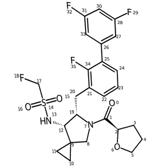 O=C([C@H]1CCCO1)N1CC2(CC2)[C@H](NS(=O)(=O)CF)[C@@H]1Cc1cccc(-c2cc(F)cc(F)c2)c1F